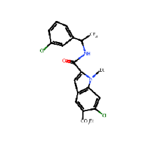 CCOC(=O)c1cc2cc(C(=O)NC(c3cccc(Cl)c3)C(F)(F)F)n(CC)c2cc1Cl